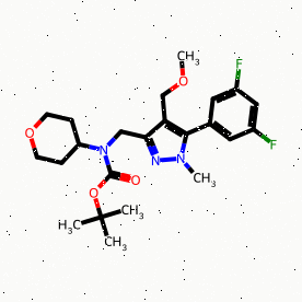 COCc1c(CN(C(=O)OC(C)(C)C)C2CCOCC2)nn(C)c1-c1cc(F)cc(F)c1